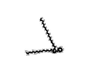 CCCCCCCCCCCCCCCCCCCC1N(CCCCCCCCCCCCCCC)C=CN1c1ccccc1